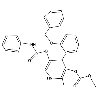 COC(=O)OC1=C(C)NC(C)=C(OC(=O)Nc2ccccc2)C1c1ccccc1OCc1ccccc1